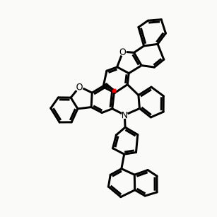 c1ccc(N(c2ccc(-c3cccc4ccccc34)cc2)c2ccc3oc4ccccc4c3c2)c(-c2cccc3oc4c5ccccc5ccc4c23)c1